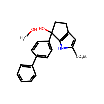 CCOC(=O)c1cc2c([nH]1)C(O)(c1ccc(-c3ccccc3)cc1)CC2.CO